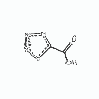 O=C(O)c1nnno1